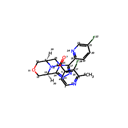 Cc1nccc(C(=O)N2[C@H]3COC[C@@H]2c2nnc(-c4ccc(F)cn4)n2C3)c1F